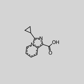 O=C(O)c1nc(C2CC2)n2ccccc12